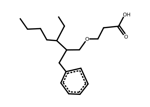 CCCCC(CC)C(COCCC(=O)O)Cc1ccccc1